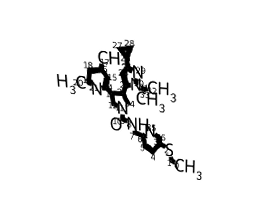 CCSc1ccc(CNC(=O)N2CC(c3cc(C)cc(C)n3)C(c3cc(C4CC4)nn3C(C)C)C2)nc1